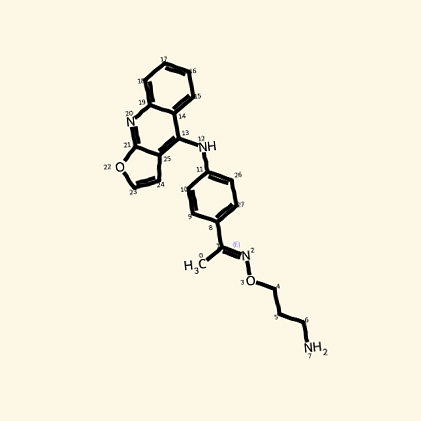 C/C(=N\OCCCN)c1ccc(Nc2c3ccccc3nc3occc23)cc1